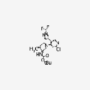 C[C@@H]1CCN(c2cc(Cl)ncc2-c2cnn(C(F)F)c2)C[C@H]1NC(=O)OC(C)(C)C